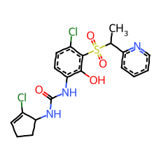 CC(c1ccccn1)S(=O)(=O)c1c(Cl)ccc(NC(=O)NC2CCC=C2Cl)c1O